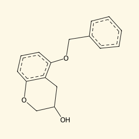 OC1COc2cccc(OCc3ccccc3)c2C1